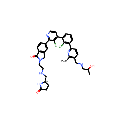 COc1nc(-c2cccc(-c3ccnc(-c4ccc5c(c4)CN(CCNC[C@H]4CCC(=O)N4)C5=O)c3Cl)c2Cl)ccc1CNCC(C)O